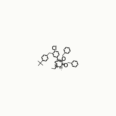 CC[C@H]1S[C@@H](c2ccc(Cl)c(Cc3ccc(C(C)(C)C)cc3)c2)[C@H](OCc2ccccc2)[C@@H](OCc2ccccc2)[C@@H]1C